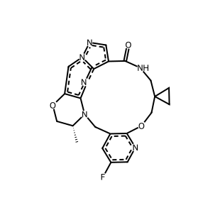 C[C@@H]1COc2cn3ncc4c3nc2N1Cc1cc(F)cnc1OCC1(CC1)CNC4=O